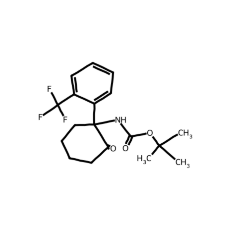 CC(C)(C)OC(=O)NC1(c2ccccc2C(F)(F)F)CCCCC1=O